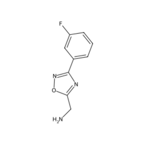 NCc1nc(-c2cccc(F)c2)no1